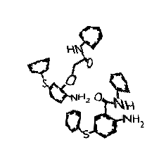 Nc1ccc(Sc2ccccc2)cc1C(=O)Nc1ccccc1.Nc1ccc(Sc2ccccc2)cc1OCC(=O)Nc1ccccc1